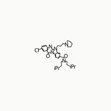 CC(C)CCN(CCC(C)C)C(=O)c1ccc2c(c1)n(CCCN1CCCCC1)c1nc3ccc(Cl)cc3c(=O)n21